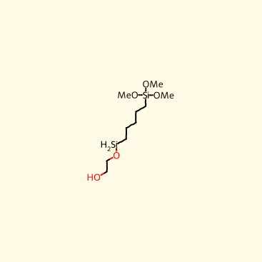 CO[Si](CCCCC[SiH2]OCCO)(OC)OC